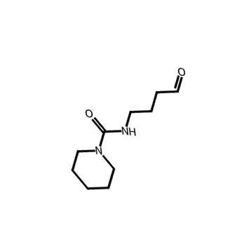 O=CCCCNC(=O)N1CCCCC1